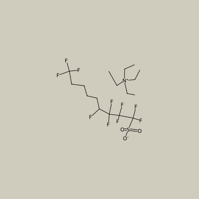 CC[N+](CC)(CC)CC.O=S(=O)([O-])C(F)(F)C(F)(F)C(F)(F)C(F)CCCCC(F)(F)F